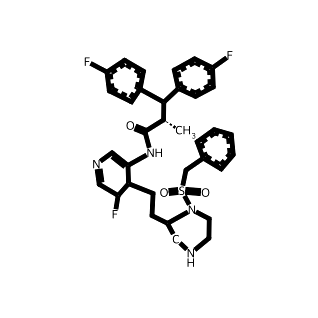 C[C@H](C(=O)NC1=CN=CC(F)C1CCC1CNCCN1S(=O)(=O)Cc1ccccc1)C(c1ccc(F)cc1)c1ccc(F)cc1